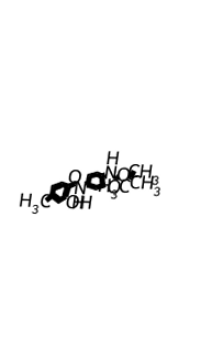 Cc1ccc(C(=O)NC2CCC(NC(=O)OC(C)(C)C)CC2)c(O)c1